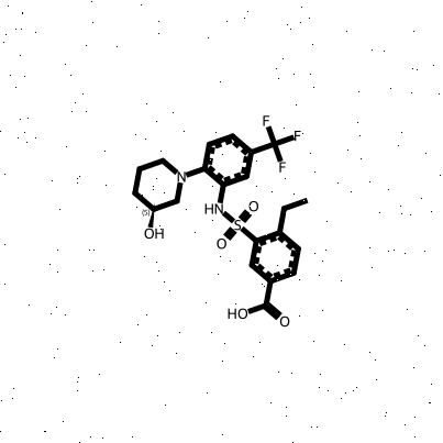 CCc1ccc(C(=O)O)cc1S(=O)(=O)Nc1cc(C(F)(F)F)ccc1N1CCC[C@H](O)C1